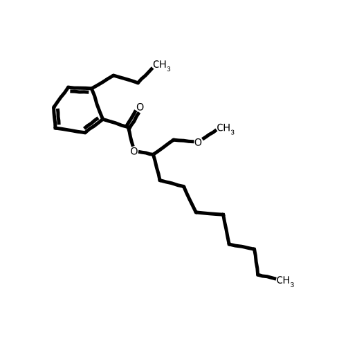 CCCCCCCCC(COC)OC(=O)c1ccccc1CCC